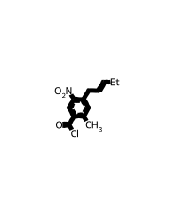 CCC=CCc1cc(C)c(C(=O)Cl)cc1[N+](=O)[O-]